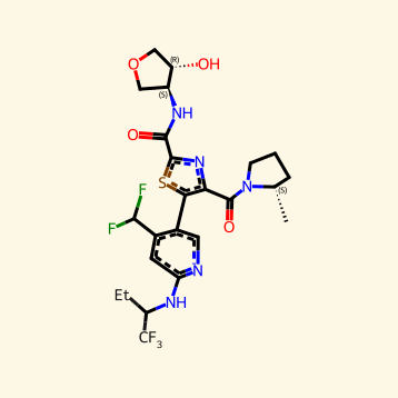 CCC(Nc1cc(C(F)F)c(-c2sc(C(=O)N[C@H]3COC[C@@H]3O)nc2C(=O)N2CCC[C@@H]2C)cn1)C(F)(F)F